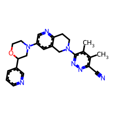 Cc1c(C#N)nnc(N2CCc3ncc(N4CCOC(c5cccnc5)C4)cc3C2)c1C